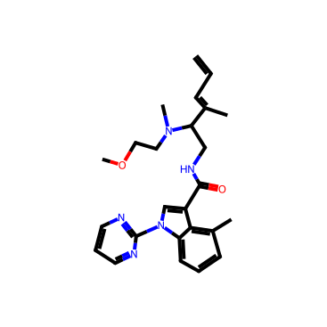 C=C/C=C(\C)C(CNC(=O)c1cn(-c2ncccn2)c2cccc(C)c12)N(C)CCOC